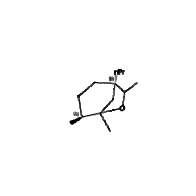 CCC[C@@]12CC[C@H](C)C(C)(C1)OC2C